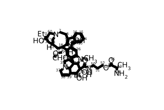 CCC1(O)C[C@H]2C[N@](CCc3c([nH]c4ccccc34)[C@@](COC=O)(c3cc4c(cc3CO)N(C)C3C45CCN4CC=C[C@](CC)(C45)[C@@H](O)[C@]3(O)C(=O)NCCCOC(=O)[C@H](C)N)C2)C1